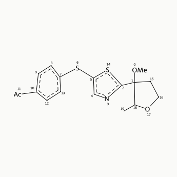 COC1(c2ncc(Sc3ccc(C(C)=O)cc3)s2)CCOC1C